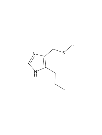 [CH2]SCc1nc[nH]c1CCC